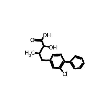 CC(Cc1ccc(-c2ccccc2)c(Cl)c1)C(O)C(=O)O